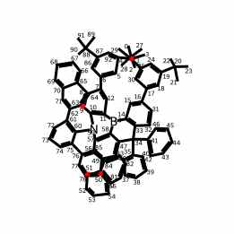 CC(C)(C)c1cc(-c2ccc3c(c2)B2c4cc(-c5cc(C(C)(C)C)cc(C(C)(C)C)c5)ccc4C(c4ccccc4)(c4ccccc4)c4cc(-c5ccccc5)cc(c42)N3c2c(-c3ccc4ccccc4c3)cccc2-c2ccc3ccccc3c2)cc(C(C)(C)C)c1